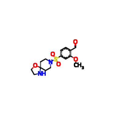 COc1cc(S(=O)(=O)N2CCC3(CC2)NCCO3)ccc1C=O